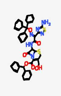 Nc1nc(C(=NOC(c2ccccc2)(c2ccccc2)c2ccccc2)C(=O)NC2C(=O)N3C(C(=O)OC(c4ccccc4)c4ccccc4)=C(CO)CSC23)ns1